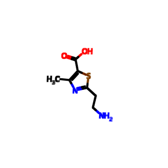 Cc1nc(CCN)sc1C(=O)O